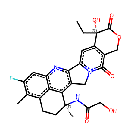 CC[C@@]1(O)C(=O)OCc2c1cc1n(c2=O)Cc2c-1nc1cc(F)c(C)c3c1c2[C@@](C)(NC(=O)CO)CC3